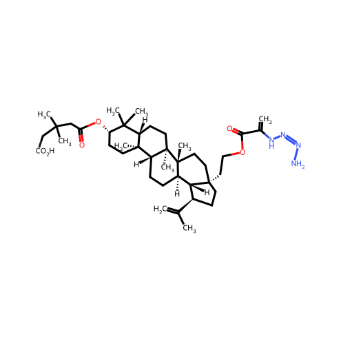 C=C(N/N=N\N)C(=O)OCC[C@]12CC[C@@H](C(=C)C)[C@@H]1[C@H]1CC[C@@H]3[C@@]4(C)CC[C@H](OC(=O)CC(C)(C)CC(=O)O)C(C)(C)[C@@H]4CC[C@@]3(C)[C@]1(C)CC2